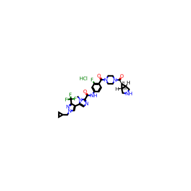 Cl.Cn1c(-c2cn(CC3CC3)nc2C(F)(F)F)cnc1C(=O)Nc1ccc(C(=O)N2CCN(C(=O)[C@H]3[C@@H]4CNC[C@@H]43)CC2)c(F)c1